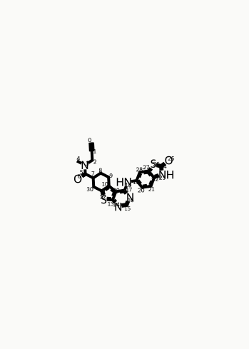 C#CCN(C)C(=O)C1CCc2c(sc3ncnc(Nc4ccc5[nH]c(=O)sc5c4)c23)C1